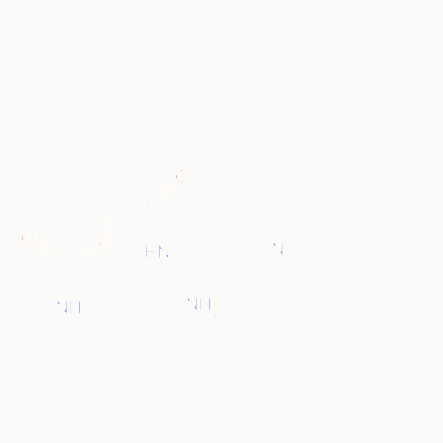 NC(=O)OC1(C(=O)NC2(N)CCN(CC3CCCCC3)C2)CCCCC1